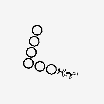 C1CCCCCCCCC1.C1CCCCCCCCC1.C1CCCCCCCCC1.C1CCCCCCCCC1.C1CCCCCCCCC1.C1CCCCCCCCC1.C=C(C)C(=O)O.C=CC(=O)O